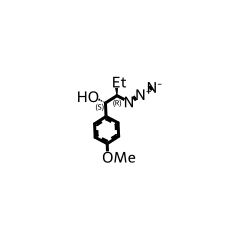 CC[C@@H](N=[N+]=[N-])[C@@H](O)c1ccc(OC)cc1